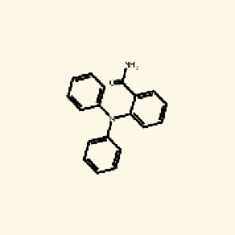 NC(=O)c1ccccc1N(c1ccccc1)c1ccccc1